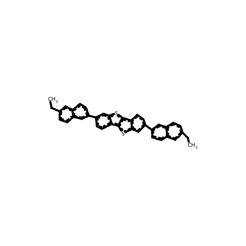 CCc1ccc2cc(-c3ccc4c(c3)sc3c5ccc(-c6ccc7cc(CC)ccc7c6)cc5sc43)ccc2c1